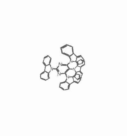 c1ccc2c(c1)c1ccccc1n2-c1nc(-n2c3ccccc3c3ccccc32)c(-n2c3ccccc3c3ccccc32)c(-n2c3ccccc3c3ccccc32)n1